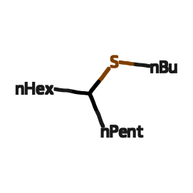 CCCCCCC(CCCCC)SCCCC